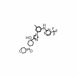 Cc1cc(Nc2nccc(C(F)(F)F)n2)cc(-n2cnc([C@]3(O)CC[C@H](C(=O)N4CCOCC4)CC3)c2)c1